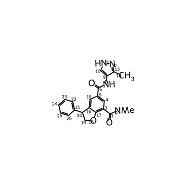 CNC(=O)c1cc(C(=O)Nc2c[nH]nc2C)cc2c1OCC2c1ccccc1